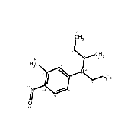 CCC(C)N(CC)c1ccc(N=O)c(C)c1